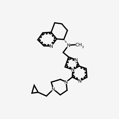 CN(Cc1cn2c(N3CCN(CC4CC4)CC3)nccc2n1)[C@H]1CCCc2cccnc21